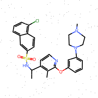 Cc1c(C(C)NS(=O)(=O)c2ccc3c(Cl)cccc3c2)ccnc1Oc1cccc(N2CCN(C)CC2)c1